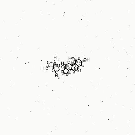 CC(O[C@@H](C)C(=O)N(C)C)C1=CC[C@H]2C3=CC=C4C[C@@H](O)C[C@H](O)[C@]4(C)[C@H]3CC[C@]12C